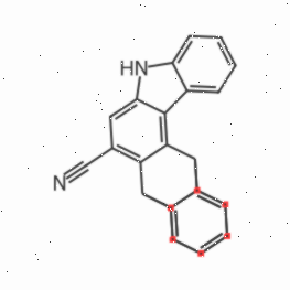 N#Cc1cc2[nH]c3ccccc3c2c2c1C1c3ccccc3C2c2ccccc21